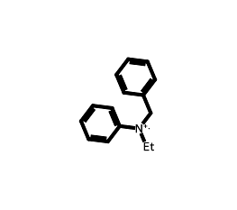 CC[N+](Cc1ccccc1)c1ccccc1